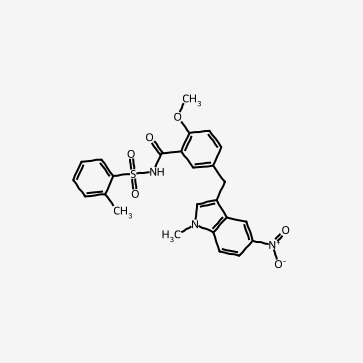 COc1ccc(Cc2cn(C)c3ccc([N+](=O)[O-])cc23)cc1C(=O)NS(=O)(=O)c1ccccc1C